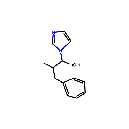 CCCCCCCCC(C(C)Cc1ccccc1)n1ccnc1